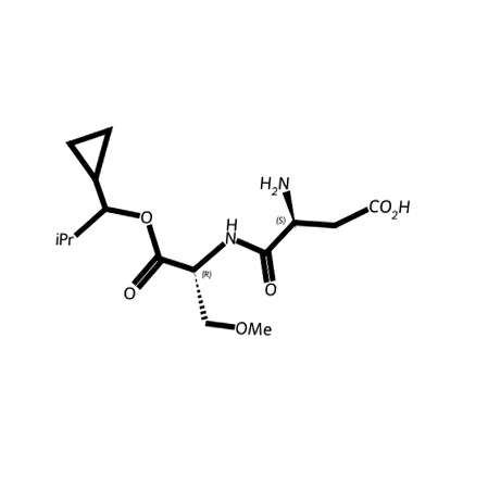 COC[C@@H](NC(=O)[C@@H](N)CC(=O)O)C(=O)OC(C(C)C)C1CC1